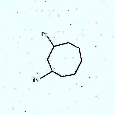 CC(C)C1[CH]C(C(C)C)CCCCC1